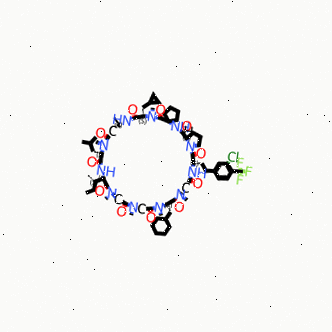 CC[C@H](C)[C@@H]1NC(=O)[C@H](CC(C)C)N(C)C(=O)C[C@@H](C)NC(=O)[C@H](CC2CC2)N(C)C(=O)C2(CCCC2)NC(=O)[C@@H]2CCCN2C(=O)[C@H](CCc2ccc(C(F)(F)F)c(Cl)c2)NC(=O)CN(C)C(=O)[C@H](CC2CCCCC2)N(C)C(=O)CN(C)C(=O)CN(C)C1=O